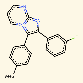 CSc1ccc(-c2c(-c3cccc(F)c3)nc3ncccn23)cc1